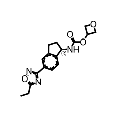 CCc1nc(-c2ccc3c(c2)CC[C@H]3NC(=O)OC2COC2)no1